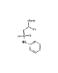 CCCCCC(CC)CS(=O)(=O)Nc1ccccc1